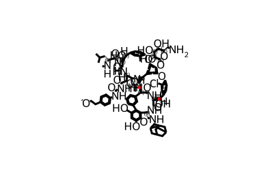 CN[C@H](CC(C)C)C(=O)N[C@H]1C(=O)N[C@@H](CC(=O)NC(=O)Nc2ccc(CCOC)cc2)C(=O)N[C@H]2C(=O)N[C@H]3C(=O)N[C@H](C(=O)N[C@H](C(=O)NC4C5CC6CC(C5)CC4C6)c4cc(O)cc(C)c4-c4cc3ccc4O)[C@H](O)c3ccc(c(Cl)c3)Oc3cc2cc(c3O[C@@H]2O[C@H](CN)[C@@H](O)[C@H](O)[C@H]2O)Oc2ccc(cc2C)[C@H]1O